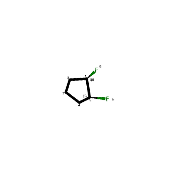 F[C@@H]1CCC[C@@H]1F